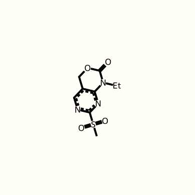 CCN1C(=O)OCc2cnc(S(C)(=O)=O)nc21